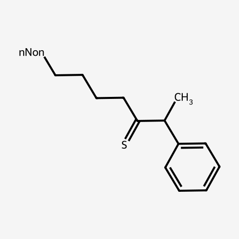 CCCCCCCCCCCCCC(=S)C(C)c1ccccc1